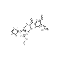 CCO[C@H]1C[C@@H](c2ccccc2)OC2(CCN(C(=O)c3ccc(OC(C)C)c(OC)c3)CC2)C1